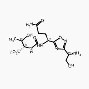 C[C@@H](O)[C@H](NC(=O)N[C@@H](CCC(N)=O)c1nc([C@@H](N)CO)no1)C(=O)O